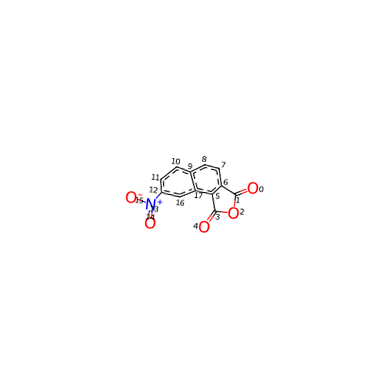 O=C1OC(=O)c2c1ccc1ccc([N+](=O)[O-])cc21